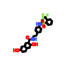 O=C(NCCc1ccc(NS(=O)(=O)c2ccccc2C(F)(F)F)cc1)c1cc2cc(O)ccc2cc1O